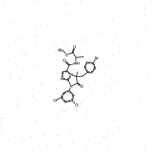 CC(NC(=O)c1cnc2n1C(C)(Cc1ccc(Br)cc1)C(=O)N2c1cc(Cl)cc(Cl)c1)C(=O)OC(C)(C)C